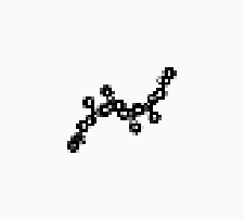 c1ccc(N(c2ccc3cc(-c4cc5ccccc5o4)ccc3c2)c2ccc3c4c5ccc6c(c5ccc4n(-c4ccccc4)c3c2)c2ccc(N(c3ccccc3)c3ccc4cc(-c5cc7ccccc7o5)ccc4c3)cc2n6-c2ccccc2)cc1